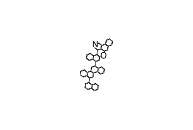 c1ccc2c(-c3cc4c5ccccc5c(-c5cc6c(c7ccccc57)-c5cncc7c5c(cc5ccccc57)O6)cc4c4ccccc34)cccc2c1